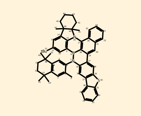 Cc1cc2c(cc1N1B3c4cc(C(C)(C)C)cc5c4N(c4c3c(cc3ccccc43)-c3cc4sc6ccccc6c4cc31)C1(C)CCCCC51C)C(C)(C)CCC2(C)C